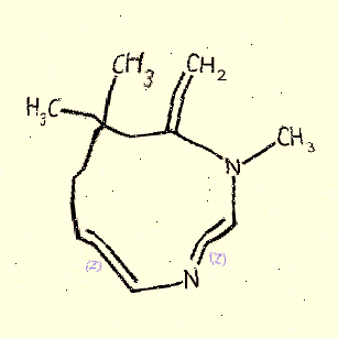 C=C1N(C)/C=N\C=C/CC1(C)C